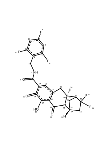 O=C(NCc1c(F)cc(F)cc1F)c1cn2c(c(O)c1=O)C(=O)N1[C@@H]3CC([C@@H]1C2)C(F)(F)C3